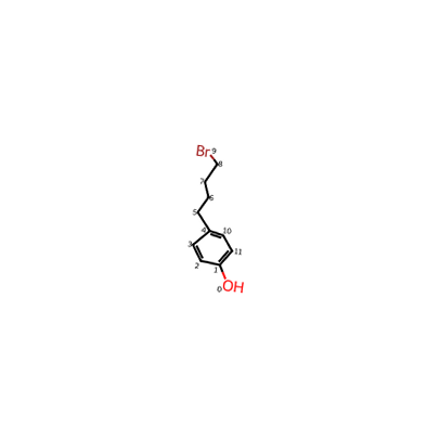 Oc1ccc(CCCCBr)cc1